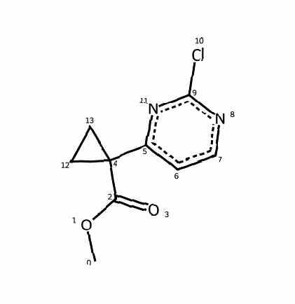 COC(=O)C1(c2ccnc(Cl)n2)CC1